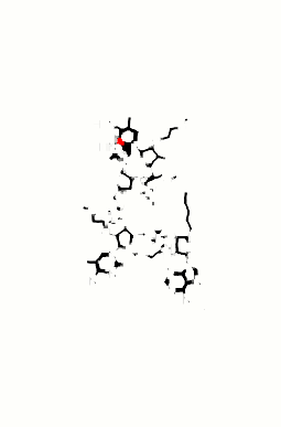 CCCCC[C@H]1O[C@@H](n2cnc3c(N)ncnc32)[C@@H](OCCOC)C1OP(=O)(O)OC[C@H]1O[C@@H](n2cc(C)c(N)nc2=O)[C@@H](OCCOC)C1OP(=O)(S)OC[C@H]1O[C@@H](n2cc(C)c(=O)[nH]c2=O)[C@@H](OCCOC)C1OP(=O)(S)OC[C@H]1OC(n2cc(C)c(N)nc2=O)[C@@H](OCCOC)C1O